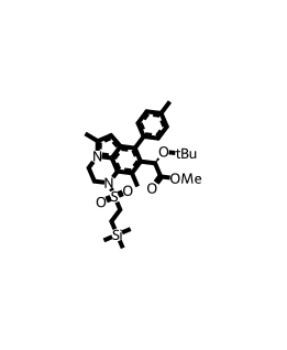 COC(=O)[C@@H](OC(C)(C)C)c1c(C)c2c3c(cc(C)n3CCN2S(=O)(=O)CC[Si](C)(C)C)c1-c1ccc(C)cc1